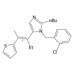 CCCCc1ncc(/C(CC)=C(\C)c2cccs2)n1Cc1ccccc1Cl